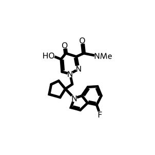 CNC(=O)c1nn(CC2(n3ccc4c(F)cccc43)CCCC2)cc(O)c1=O